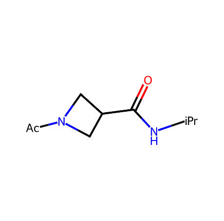 CC(=O)N1CC(C(=O)NC(C)C)C1